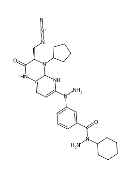 [N-]=[N+]=NC[C@@H]1C(=O)NC2=CC=C(N(N)c3cccc(C(=O)N(N)C4CCCCC4)c3)NC2N1C1CCCC1